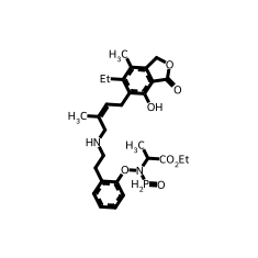 CCOC(=O)C(C)N(Oc1ccccc1CCNCC(C)=CCc1c(O)c2c(c(C)c1CC)COC2=O)[PH2]=O